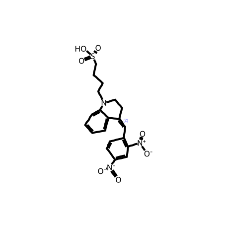 O=[N+]([O-])c1ccc(/C=C2/CCN(CCCCS(=O)(=O)O)c3ccccc32)c([N+](=O)[O-])c1